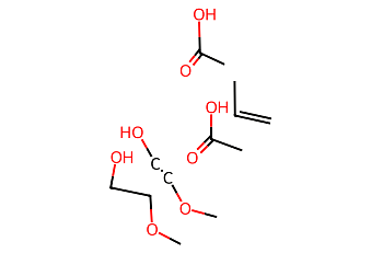 C=CC.CC(=O)O.CC(=O)O.COCCO.COCCO